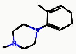 CC1=C[CH]CC=C1N1CCN(C)CC1